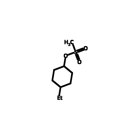 CCC1CCC(OS(C)(=O)=O)CC1